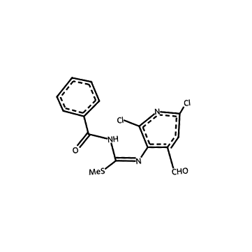 CS/C(=N/c1c(C=O)cc(Cl)nc1Cl)NC(=O)c1ccccc1